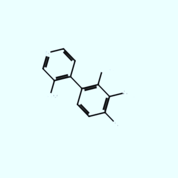 COc1cnccc1-c1ccc([N+](=O)[O-])c(N)c1OCC(C)C